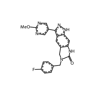 COc1ncc(-c2n[nH]c3cc4c(cc23)CN(Cc2ccc(F)cc2)C(=O)N4)cn1